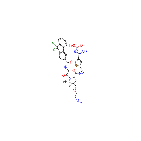 CC(NC(=O)[C@@H]1C[C@]2(COCCN)C[C@@H]2N1C(=O)CNC(=O)c1ccc2c(c1)-c1ccccc1C2(F)F)c1cc(C(=N)NC(=O)O)cs1